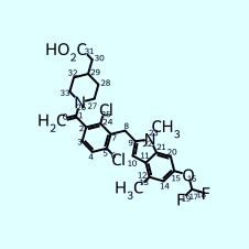 C=C(c1ccc(Cl)c(Cc2cc3c(C)cc(OC(F)F)cc3n2C)c1Cl)N1CCC(CC(=O)O)CC1